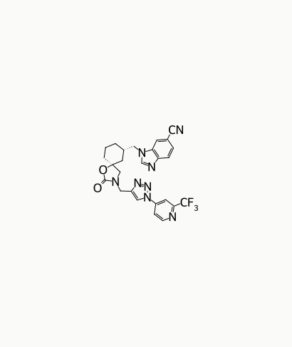 N#Cc1ccc2ncn(C[C@H]3CCC[C@]4(C3)CN(Cc3cn(-c5ccnc(C(F)(F)F)c5)nn3)C(=O)O4)c2c1